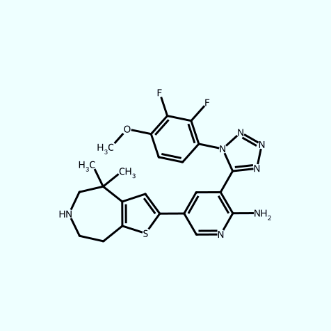 COc1ccc(-n2nnnc2-c2cc(-c3cc4c(s3)CCNCC4(C)C)cnc2N)c(F)c1F